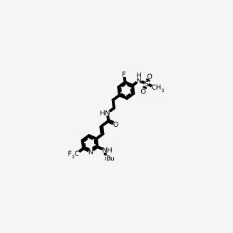 CCC(C)Nc1nc(C(F)(F)F)ccc1C=CC(=O)NCCc1ccc(NS(C)(=O)=O)c(F)c1